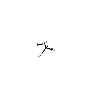 [CH2]SC(F)F